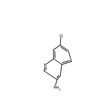 Nc1cnc2cc(Cl)ccc2c1